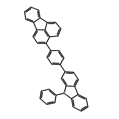 c1ccc(-n2c3ccccc3c3ccc(-c4ccc(-c5ccc6c7c(cccc57)-c5ccccc5-6)cc4)cc32)cc1